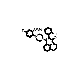 COc1cc(F)ccc1N1CCN(C(C)c2cccc3c2N(C(=O)Cc2ccccc2Cl)CCC3)CC1